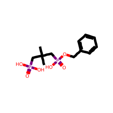 CC(C)(CP(=O)(O)O)CP(=O)(O)OCc1ccccc1